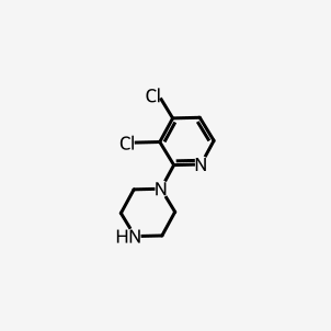 Clc1ccnc(N2CCNCC2)c1Cl